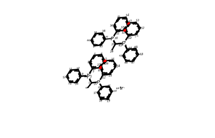 CC(P(c1ccccc1)c1ccccc1)P(c1ccccc1)c1ccccc1.CC(P(c1ccccc1)c1ccccc1)P(c1ccccc1)c1ccccc1.[Ir]